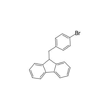 Brc1ccc(CC2c3ccccc3-c3ccccc32)cc1